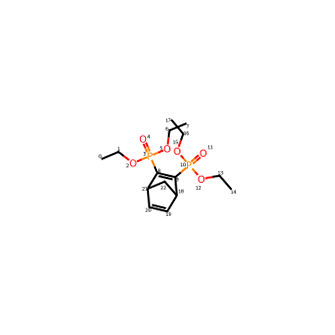 CCOP(=O)(OCC)C1=C(P(=O)(OCC)OCC)C2C=CC1C2